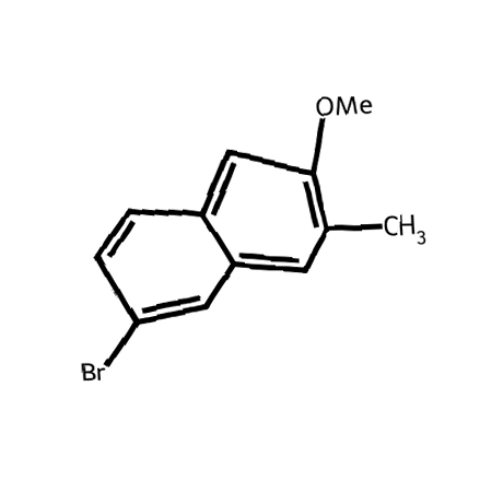 COc1cc2ccc(Br)cc2cc1C